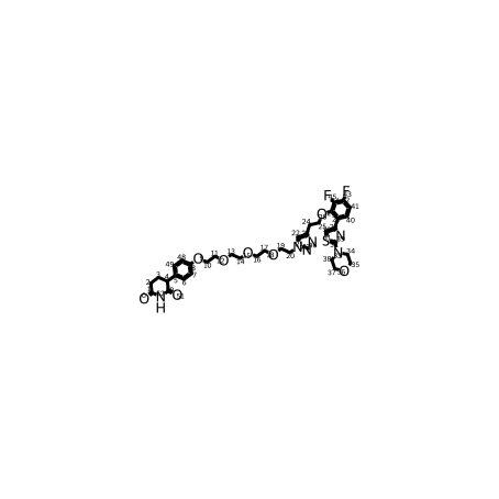 O=C1CCC(c2ccc(OCCOCCOCCOCCn3cc(CCOc4c(-c5csc(N6CCOCC6)n5)ccc(F)c4F)nn3)cc2)C(=O)N1